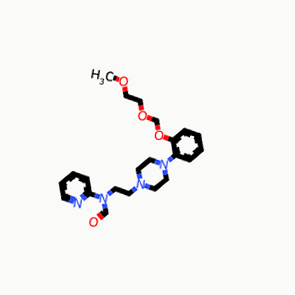 COCCOCOc1ccccc1N1CCN(CCN(C=O)c2ccccn2)CC1